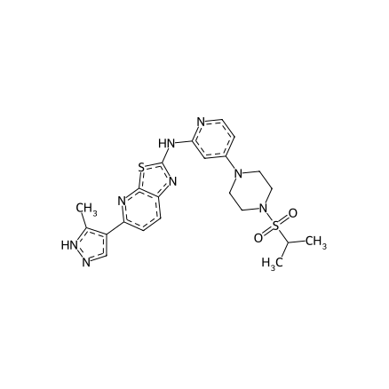 Cc1[nH]ncc1-c1ccc2nc(Nc3cc(N4CCN(S(=O)(=O)C(C)C)CC4)ccn3)sc2n1